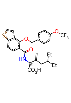 C=C(CC(CC)CC)[C@H](NC(=O)c1ccc2sccc2c1OCc1ccc(OC(F)(F)F)cc1)C(=O)O